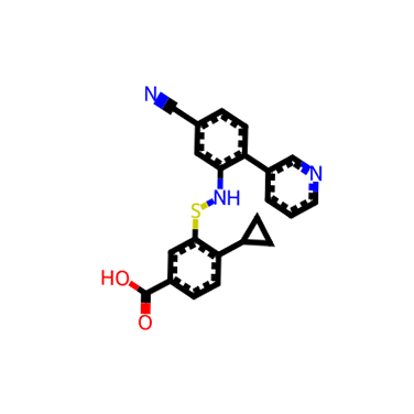 N#Cc1ccc(-c2cccnc2)c(NSc2cc(C(=O)O)ccc2C2CC2)c1